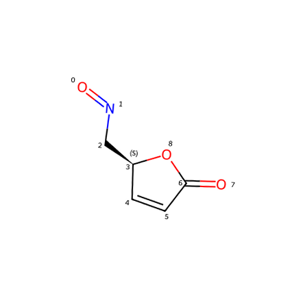 O=NC[C@@H]1C=CC(=O)O1